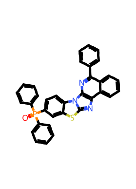 O=P(c1ccccc1)(c1ccccc1)c1ccc2c(c1)sc1nc3c4ccccc4c(-c4ccccc4)nc3n12